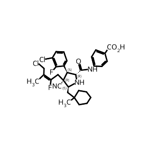 CC(CCl)=C(F)C[C@]1(C#N)[C@H](CC2(C)CCCCC2)N[C@@H](C(=O)Nc2ccc(C(=O)O)cc2)[C@@H]1c1cccc(Cl)c1F